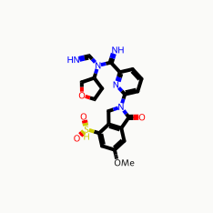 COc1cc2c(c([SH](=O)=O)c1)CN(c1cccc(C(=N)N(C=N)C3CCOC3)n1)C2=O